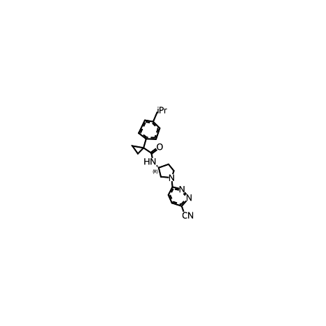 CC(C)c1ccc(C2(C(=O)N[C@@H]3CCN(c4ccc(C#N)nn4)C3)CC2)cc1